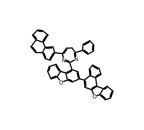 C1=C(c2ccc3ccc4ccccc4c3c2)N=C(c2cc(-c3cc4oc5ccccc5c4c4ccccc34)cc3oc4ccccc4c23)N=C(c2ccccc2)C1